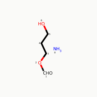 N.O=COCCCO